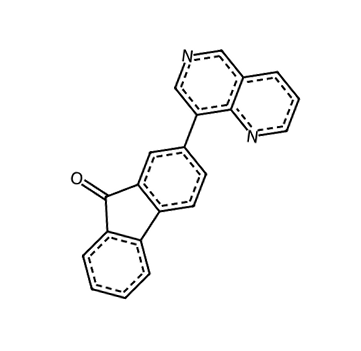 O=C1c2ccccc2-c2ccc(-c3cncc4cccnc34)cc21